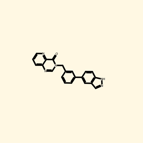 O=c1c2ncccc2ncn1Cc1cccc(-c2ccc3[nH]ncc3c2)c1